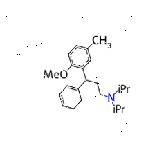 COc1ccc(C)cc1C(CCN(C(C)C)C(C)C)C1=CC=CCC1